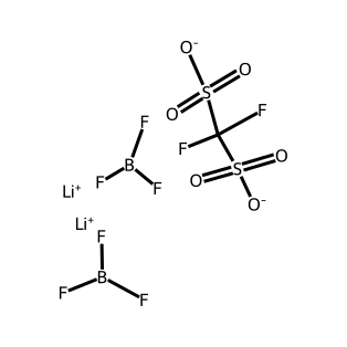 FB(F)F.FB(F)F.O=S(=O)([O-])C(F)(F)S(=O)(=O)[O-].[Li+].[Li+]